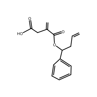 C=CCC(OC(=O)C(=C)CC(=O)O)c1ccccc1